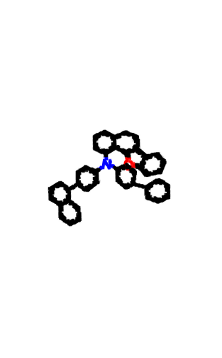 c1ccc(-c2ccc(N(c3ccc(-c4cccc5ccccc45)cc3)c3cccc4ccc5c6ccccc6oc5c34)cc2)cc1